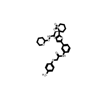 Cc1ccc(OCC(=O)Nc2cccc(-c3ccc([C@@]4(CC(=O)NOC5CCCCO5)CCCCS4(=O)=O)s3)c2)cc1